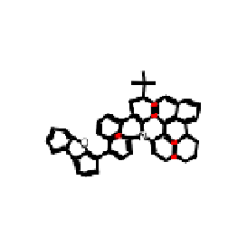 CC(C)(C)C1C=CC(N(C2=CCCC=C2c2cccc3cccc(C4CCCCC4)c23)c2ccc(-c3cccc4c3oc3ccccc34)cc2)=C(c2ccccc2)C1